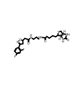 O=C(CCCCC1SC[C@H]2NC(=O)N[C@@H]12)NCCCNC(=O)CC1CC(c2ccc(F)cc2F)=NO1